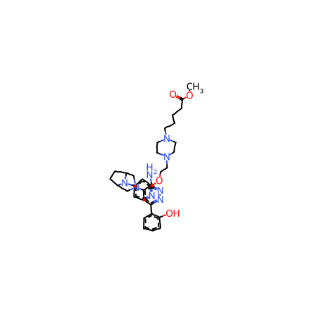 COC(=O)CCCCN1CCN(CCOc2cc(N3C4CCC3CN(c3cc(-c5ccccc5O)nnc3N)C4)ccn2)CC1